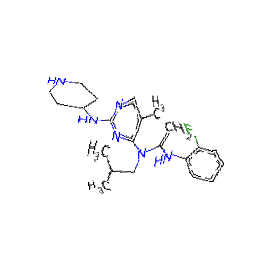 C=C(Nc1ccccc1F)N(CC(C)C)c1nc(NC2CCNCC2)ncc1C